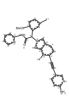 COc1ccc(F)cc1C(C(=O)Nc1ccccn1)n1cc2ccc(C#Cc3ccc(N)nc3)c(F)c2n1